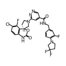 O=C1Nc2ccc(Cl)c(F)c2[C@]2(CCN(c3cc(C(=O)NCc4ccc(N5CCC(F)(F)C5)c(F)c4)cnn3)C2)O1